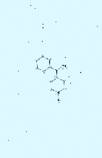 CCN1CCN(C(C)C2CCCCC2)CC1